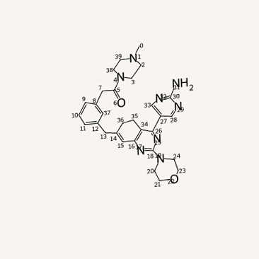 CN1CCN(C(=O)Cc2cccc(CC3=Cc4nc(N5CCOCC5)nc(-c5cnc(N)nc5)c4CC3)c2)CC1